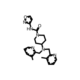 Cc1cccnc1CN(Cc1ncccc1C)C1CCN(C(=O)Nc2ccon2)CC1